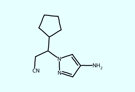 N#CCC(C1CCCC1)n1cc(N)cn1